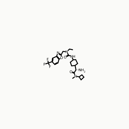 CCN(Cc1nc2cc(C(F)(F)F)ccc2o1)C(=O)NC1CCC([C@H](N)C(=O)N(C)C2CCC2)CC1